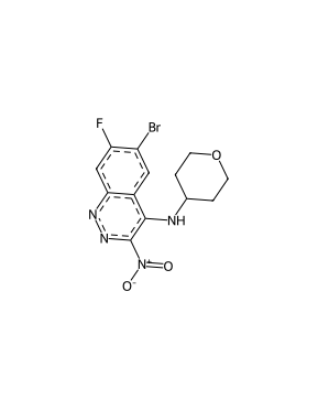 O=[N+]([O-])c1nnc2cc(F)c(Br)cc2c1NC1CCOCC1